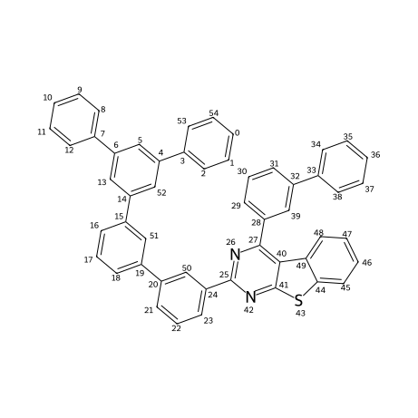 c1ccc(-c2cc(-c3ccccc3)cc(-c3cccc(-c4cccc(-c5nc(-c6cccc(-c7ccccc7)c6)c6c(n5)sc5ccccc56)c4)c3)c2)cc1